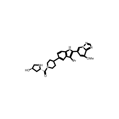 COc1cc(-c2[nH]c3ccc(C4CCN(C(=O)[C@@H]5C[C@@H](O)CN5)CC4)cc3c2C(C)C)cn2ncnc12